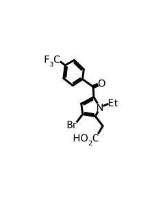 CCn1c(C(=O)c2ccc(C(F)(F)F)cc2)cc(Br)c1CC(=O)O